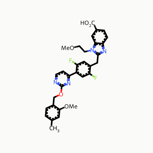 COCCn1c(Cc2cc(F)c(-c3ccnc(OCc4ccc(C)cc4OC)n3)cc2F)nc2ccc(C(=O)O)cc21